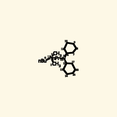 [CH2]CCCN(C)C.[CH2]CCN(C1CCCCC1)C1CCCCC1